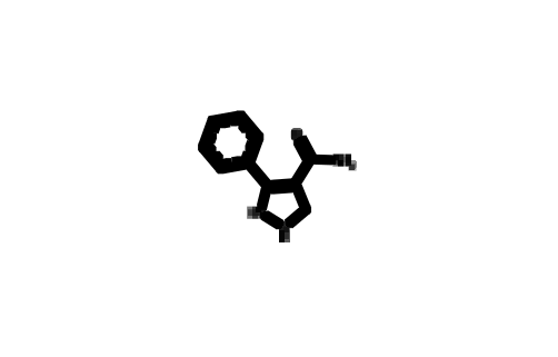 NC(=O)C1=C(c2ccccc2)NNC1